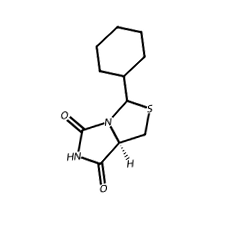 O=C1NC(=O)N2C(C3CCCCC3)SC[C@@H]12